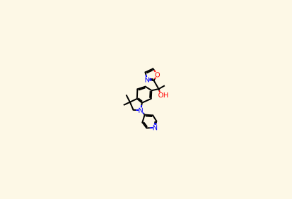 CC1(C)CN(c2ccncc2)c2cc(C(C)(O)c3ncco3)ccc21